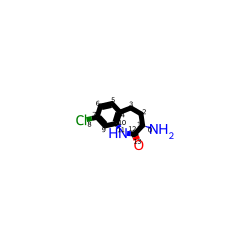 N[C@H]1CCc2ccc(Cl)cc2NC1=O